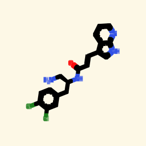 NC[C@H](Cc1ccc(Cl)c(Cl)c1)NC(=O)C=Cc1c[nH]c2ncccc12